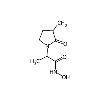 CC1CCN(C(C)C(=O)NO)C1=O